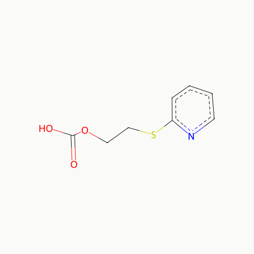 O=C(O)OCCSc1ccccn1